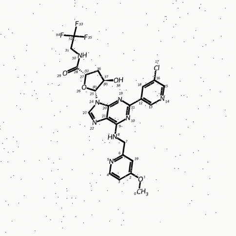 COc1ccnc(CNc2nc(-c3cncc(Cl)c3)nc3c2ncn3[C@@H]2O[C@H](C(=O)NCC(F)(F)F)C[C@H]2O)c1